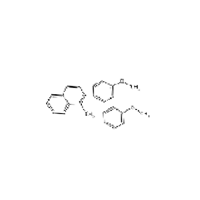 COc1ccccc1.COc1ccccc1.Cc1cccc2ccccc12